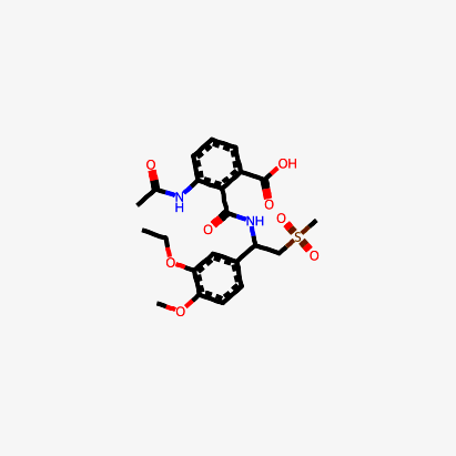 CCOc1cc(C(CS(C)(=O)=O)NC(=O)c2c(NC(C)=O)cccc2C(=O)O)ccc1OC